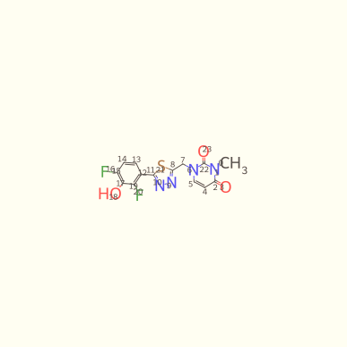 Cn1c(=O)ccn(Cc2nnc(-c3ccc(F)c(O)c3F)s2)c1=O